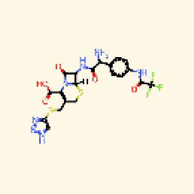 NC(C(=O)NC1C(=O)N2C(C(=O)O)=C(CSc3c[nH]nn3)CS[C@@H]12)c1ccc(NC(=O)C(F)(F)F)cc1